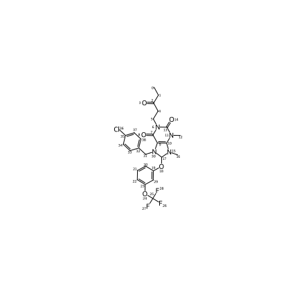 CCC(=O)CCn1c(=O)c2c(n(C)c1=O)N(C)C(Oc1cccc(OC(F)(F)F)c1)N2Cc1ccc(Cl)cc1